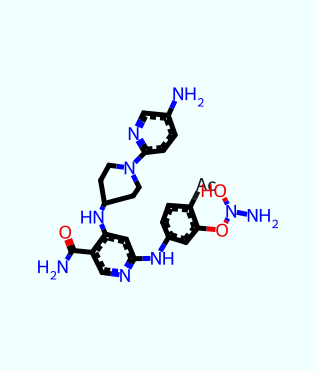 CC(=O)c1ccc(Nc2cc(NC3CCN(c4ccc(N)cn4)CC3)c(C(N)=O)cn2)cc1ON(N)O